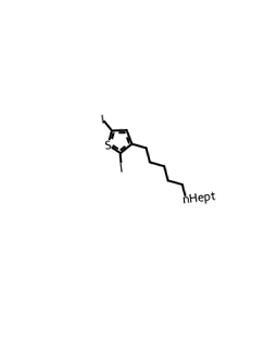 CCCCCCCCCCCCc1cc(I)sc1I